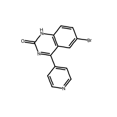 O=c1nc(-c2ccncc2)c2cc(Br)ccc2[nH]1